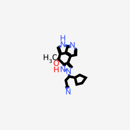 CC1(O)c2nn(C(CC#N)C3CCCC3)cc2-c2ccnc3[nH]cc1c23